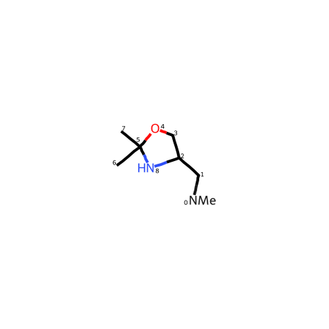 CNCC1COC(C)(C)N1